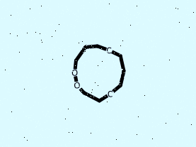 C1CCCCCOOCCCC1